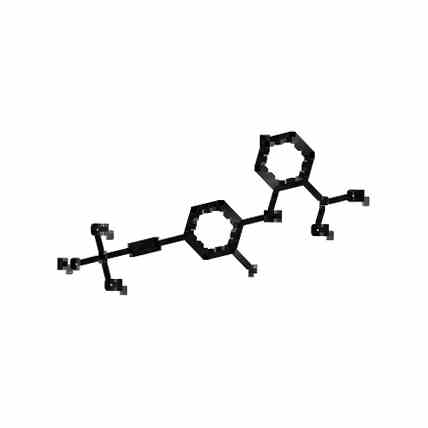 CP(C)c1ccncc1Nc1ccc(C#CS(C)(C)C)cc1F